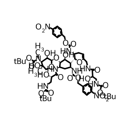 CN(C(=O)OC(C)(C)C)[C@@H]1[C@@H](O)[C@@H](O[C@H]2[C@H](NC(=O)[C@@H](O)CNC(=O)OC(C)(C)C)C[C@H](NC(=O)OCc3ccc([N+](=O)[O-])cc3)C([C@H]3OC(CNC(=O)C(O)CNC(=O)OC(C)(C)C)=CC[C@H]3NC(=O)OCc3ccc([N+](=O)[O-])cc3)[C@@H]2O)OC[C@]1(C)O